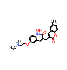 Cc1ccc2oc(=O)c(CC(Cc3cccc(OCCN(C)C)c3)C(=O)NO)cc2c1